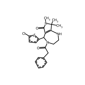 CN1C(=O)C2=C(NCCN(C(=O)Cc3ccccc3)C2c2ccc(Cl)s2)C1(C)C